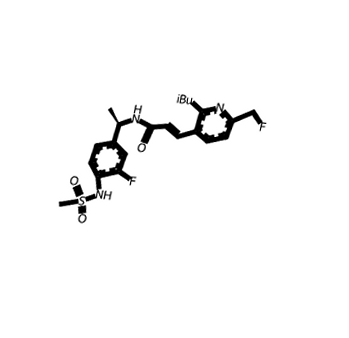 CCC(C)c1nc(CF)ccc1/C=C/C(=O)N[C@H](C)c1ccc(NS(C)(=O)=O)c(F)c1